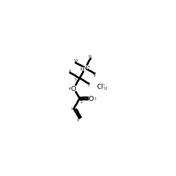 C=CC(=O)OC(C)(C)[N+](C)(C)C.[Cl-]